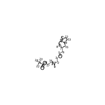 CN(CCOCCc1ccc2sccc2c1)CCOC(=O)C(C)(C)C